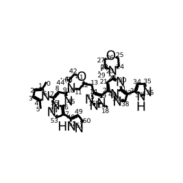 Cc1ccc(C)n1-c1cc(N2CC(Cc3nnn(C)c3-c3cc(N4CCOC[C@H]4C)nc4c(-c5ccn[nH]5)cnn34)OC[C@H]2C)nc2c(-c3ccn[nH]3)cnn12